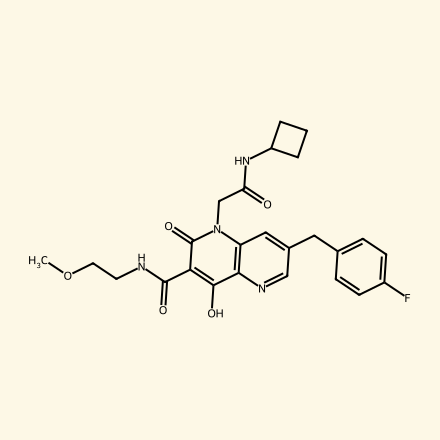 COCCNC(=O)c1c(O)c2ncc(Cc3ccc(F)cc3)cc2n(CC(=O)NC2CCC2)c1=O